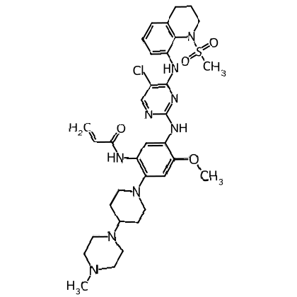 C=CC(=O)Nc1cc(Nc2ncc(Cl)c(Nc3cccc4c3N(S(C)(=O)=O)CCC4)n2)c(OC)cc1N1CCC(N2CCN(C)CC2)CC1